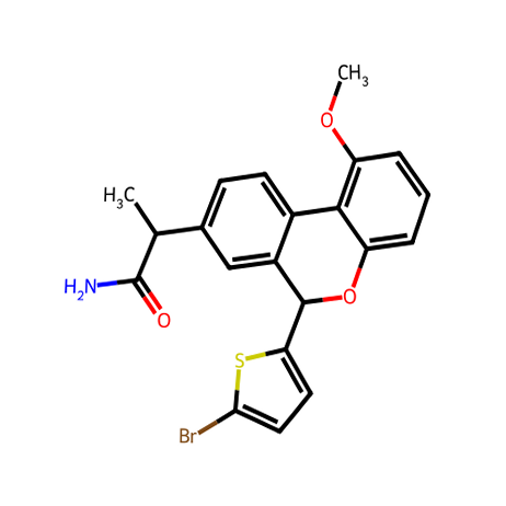 COc1cccc2c1-c1ccc(C(C)C(N)=O)cc1C(c1ccc(Br)s1)O2